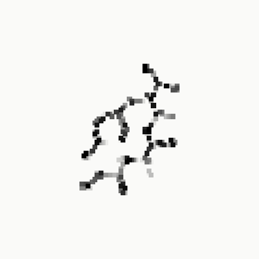 CCC(CC)[C@@H](Oc1ccc(Cl)cc1)[C@H](C)OC(=O)[C@H](C)NC(=O)OC(C)(C)C